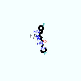 Cn1nc(C(=O)NCCN2CCC(F)CC2)cc1-c1cc2cc(F)ccc2[nH]1